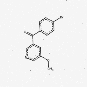 COc1cncc(C(=O)c2ccc(Br)cc2)c1